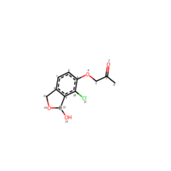 CC(=O)COc1ccc2c(c1Cl)B(O)OC2